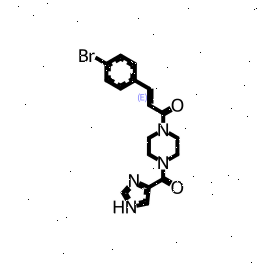 O=C(/C=C/c1ccc(Br)cc1)N1CCN(C(=O)c2c[nH]cn2)CC1